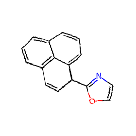 C1=CC(c2ncco2)c2cccc3cccc1c23